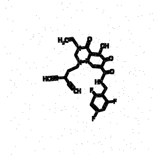 C#CC(C#C)CCN1CN(C=C)C(=O)c2c(O)c(=O)c(C(=O)NCc3c(F)cc(F)cc3F)cn21